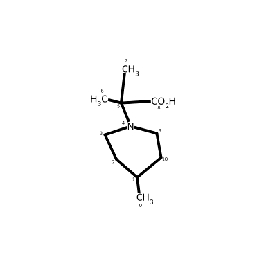 CC1CCN(C(C)(C)C(=O)O)CC1